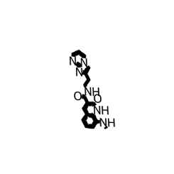 CNc1cccc2cc(C(=O)NCCc3cn4cccnc4n3)c(=O)[nH]c12